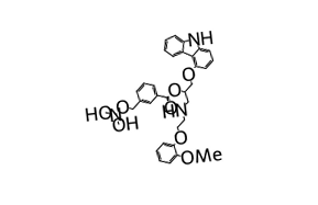 COc1ccccc1OCCNCC(COc1cccc2[nH]c3ccccc3c12)OC(=O)c1cccc(CON(O)O)c1